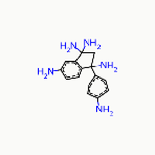 Nc1ccc(C2(N)CC(N)(N)c3cc(N)ccc32)cc1